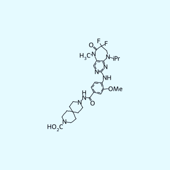 COc1cc(C(=O)NN2CCC3(CC2)CCN(C(=O)O)CC3)ccc1Nc1ncc2c(n1)N(C(C)C)CC(F)(F)C(=O)N2C